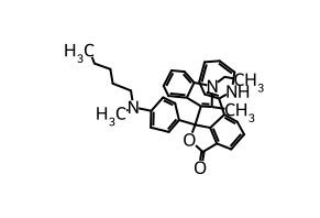 CCCCCN(C)c1ccc(C2(c3c(C)n(CC)c4ccccc34)OC(=O)c3cccc(C4=CC=CC=CN4)c32)cc1